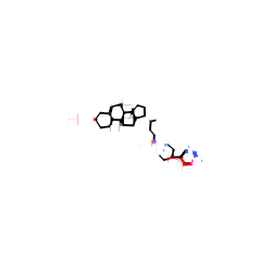 CC(CCC(=O)N1CCC(O)(c2ccnnc2)CC1)[C@H]1CC[C@H]2[C@@H]3CC=C4C[C@@H](O)CC[C@]4(C)[C@H]3CC[C@]12C